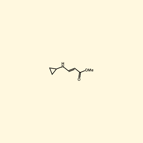 COC(=O)C=CNC1CC1